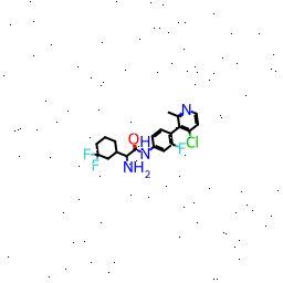 Cc1nccc(Cl)c1-c1ccc(NC(=O)C(N)C2CCCC(F)(F)C2)cc1F